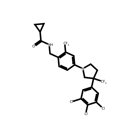 O=C(NCc1ccc(N2CCC(c3cc(Cl)c(Cl)c(Cl)c3)(C(F)(F)F)C2)cc1C(F)(F)F)C1CC1